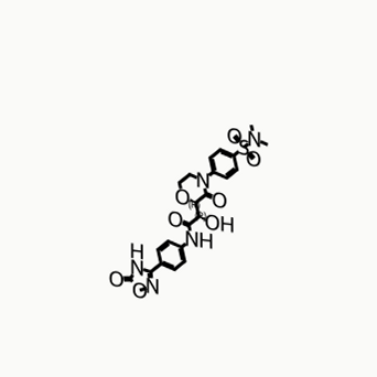 CN(C)S(=O)(=O)c1ccc(N2CCO[C@H]([C@@H](O)C(=O)Nc3ccc(-c4noc(=O)[nH]4)cc3)C2=O)cc1